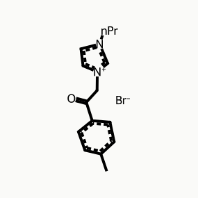 CCCn1cc[n+](CC(=O)c2ccc(C)cc2)c1.[Br-]